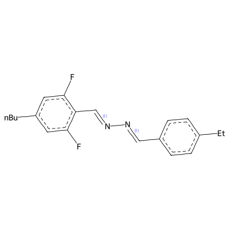 CCCCc1cc(F)c(/C=N/N=C/c2ccc(CC)cc2)c(F)c1